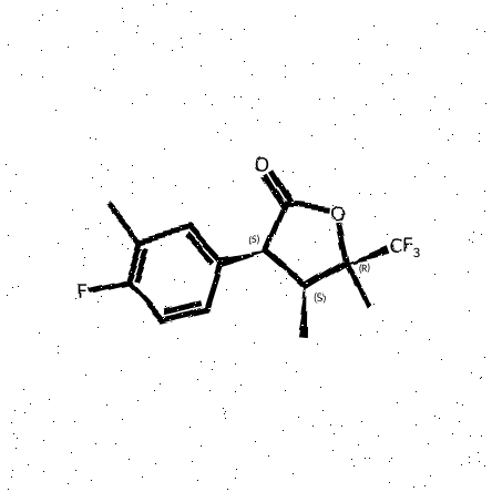 Cc1cc([C@H]2C(=O)O[C@@](C)(C(F)(F)F)[C@H]2C)ccc1F